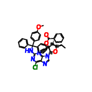 C#C[C@@]1(OC(=O)c2ccccc2)[C@H](C)[C@@H](CC)O[C@@H]1n1cnc2c(Cl)nc(NC(c3ccccc3)(c3ccccc3)c3ccc(OC)cc3)nc21